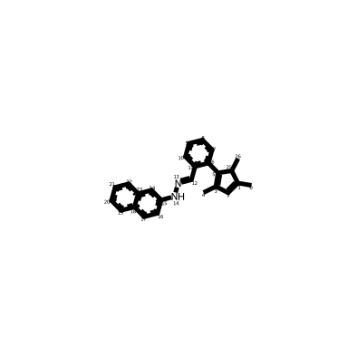 CC1=CC(C)=C(c2ccccc2C=NNc2ccc3ccccc3c2)C1C